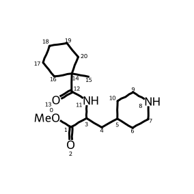 COC(=O)C(CC1CCNCC1)NC(=O)C1(C)CCCCC1